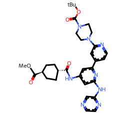 COC(=O)[C@H]1CC[C@H](C(=O)Nc2cc(Nc3cnccn3)nc(-c3ccnc(N4CCN(C(=O)OC(C)(C)C)CC4)c3)c2)CC1